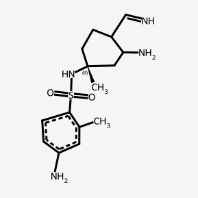 Cc1cc(N)ccc1S(=O)(=O)N[C@]1(C)CCC(C=N)C(N)C1